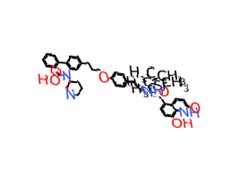 CC(C)(C)[Si](C)(C)O[C@@H](CNCCc1ccc(OCCCc2ccc(-c3ccccc3)c(N(C(=O)O)C3CN4CCC3CC4)c2)cc1)c1ccc(O)c2[nH]c(=O)ccc12